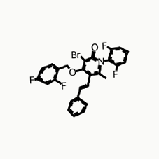 Cc1c(/C=C/c2ccccc2)c(OCc2ccc(F)cc2F)c(Br)c(=O)n1-c1c(F)cccc1F